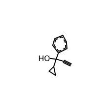 C#CC(O)(c1ccccc1)C1CC1